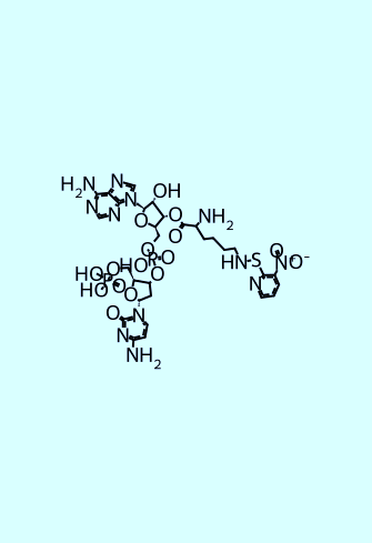 Nc1ccn([C@H]2C[C@H](OP(=O)(O)OC[C@H]3O[C@@H](n4cnc5c(N)ncnc54)[C@H](O)[C@@H]3OC(=O)C(N)CCCCNSc3ncccc3[N+](=O)[O-])[C@H](COP(=O)(O)O)O2)c(=O)n1